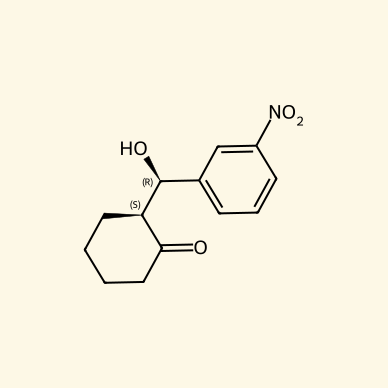 O=C1CCCC[C@H]1[C@@H](O)c1cccc([N+](=O)[O-])c1